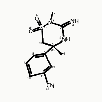 CN1C(=N)N[C@](C)(c2cccc(C#N)c2)CS1(=O)=O